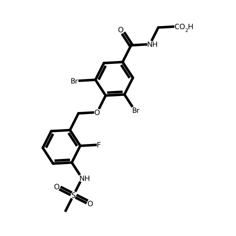 CS(=O)(=O)Nc1cccc(COc2c(Br)cc(C(=O)NCC(=O)O)cc2Br)c1F